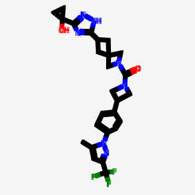 Cc1cc(C(F)(F)F)nn1-c1ccc(C2CN(C(=O)N3CC4(CC(c5nc(C6(O)CC6)n[nH]5)C4)C3)C2)cc1